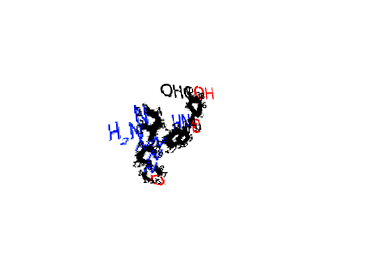 Nc1ncccc1-c1nc2ccc(N3CCOCC3)nc2n1-c1ccc2c(c1)CC[C@@H]2NC(=O)c1ccc(O)c(C=O)c1